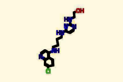 OCCNc1nccc(NCCCCNc2ccnc3cc(Cl)ccc23)n1